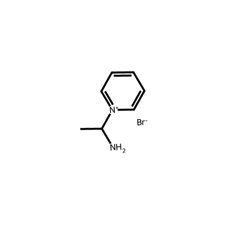 CC(N)[n+]1ccccc1.[Br-]